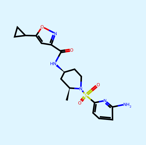 C[C@H]1C[C@@H](NC(=O)c2cc(C3CC3)on2)CCN1S(=O)(=O)c1cccc(N)n1